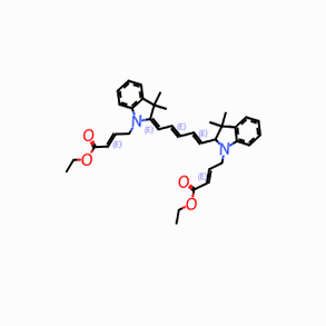 CCOC(=O)/C=C/CN1/C(=C/C=C/C=C/C2N(C/C=C/C(=O)OCC)c3ccccc3C2(C)C)C(C)(C)c2ccccc21